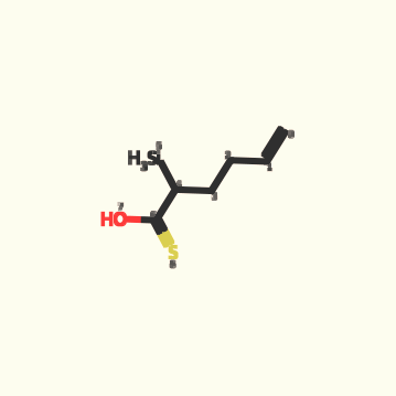 C=CCCC([SiH3])C(O)=S